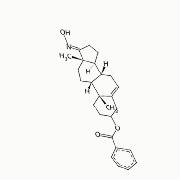 C[C@]12CCC(OC(=O)c3ccccc3)CC1=CC[C@@H]1[C@H]2CC[C@]2(C)C(=NO)CC[C@@H]12